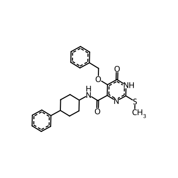 CSc1nc(C(=O)NC2CCC(c3ccccc3)CC2)c(OCc2ccccc2)c(=O)[nH]1